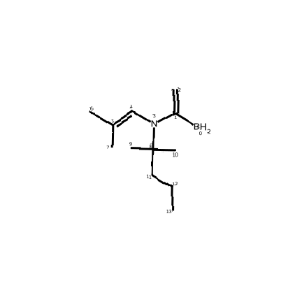 BC(=C)N(C=C(C)C)C(C)(C)CCC